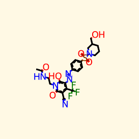 CC(=O)NCCn1c(O)c(/N=N/c2ccc(S(=O)(=O)N3CCCC(CO)C3)cc2)c(C(F)(F)F)c(C#N)c1=O